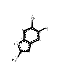 Cc1cc2cc(Br)c(O)cc2[nH]1